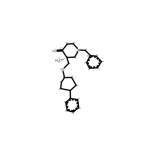 C[C@@]1(COC2CCC(c3ccccc3)CC2)CN(Cc2ccccc2)CCC1=O